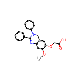 COc1cc2c(cc1OCC(=O)O)CN(c1ccccc1)C(c1ccccc1)=N2